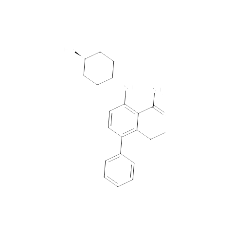 CCc1c(-c2ccccc2)ccc(N[C@H]2CC[C@H](O)CC2)c1C(N)=O